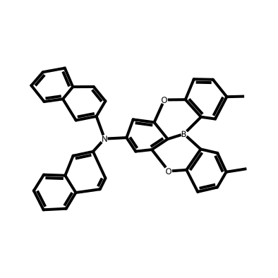 Cc1ccc2c(c1)B1c3cc(C)ccc3Oc3cc(N(c4ccc5ccccc5c4)c4ccc5ccccc5c4)cc(c31)O2